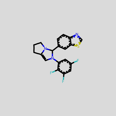 Fc1cc(F)c(F)c(N2C=C3CCCN3C2c2ccc3ncsc3c2)c1